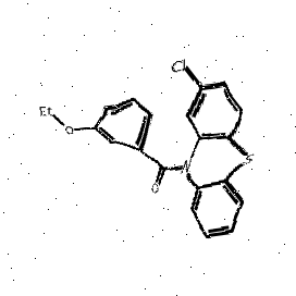 CCOc1cccc(C(=O)N2c3ccccc3Sc3ccc(Cl)cc32)c1